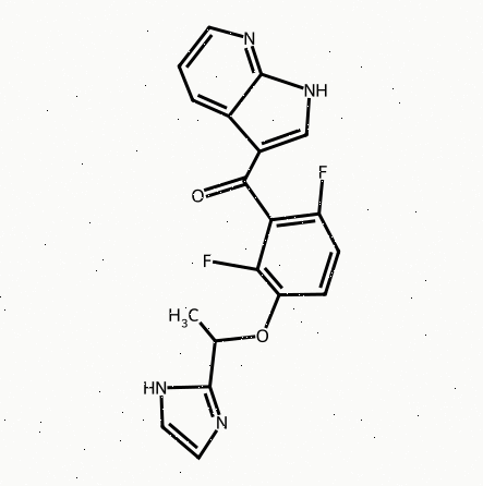 CC(Oc1ccc(F)c(C(=O)c2c[nH]c3ncccc23)c1F)c1ncc[nH]1